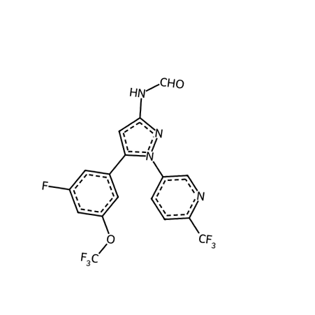 O=CNc1cc(-c2cc(F)cc(OC(F)(F)F)c2)n(-c2ccc(C(F)(F)F)nc2)n1